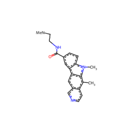 CNCCNC(=O)c1ccc2c(c1)c1cc3cnccc3c(C)c1n2C